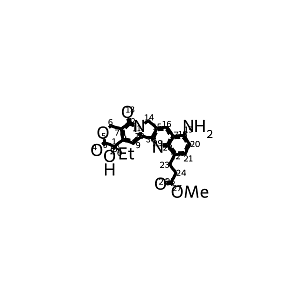 CC[C@@]1(O)C(=O)OCc2c1cc1n(c2=O)Cc2cc3c(N)ccc(CCC(=O)OC)c3nc2-1